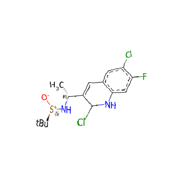 C[C@@H](N[S@+]([O-])C(C)(C)C)C1=Cc2cc(Cl)c(F)cc2NC1Cl